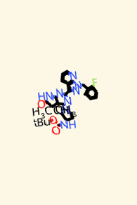 CC(C)(C)OC(=O)NC1CCN(C2N=C(c3nn(Cc4ccccc4F)c4ncccc34)N=C3NC(=O)C(C)(C)C32C)C1